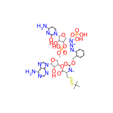 CN(C(=O)OCc1ccccc1N=[N+]=[N-])C(CSSC(C)(C)C)C(=O)O[C@H]1[C@@H](O)[C@H](n2cnc3c(N)ncnc32)O[C@@H]1COP(=O)(O)O[C@H]1[C@@H](O)[C@H](n2ccc(N)nc2=O)O[C@@H]1COP(=O)(O)O